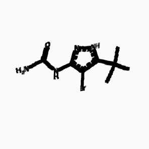 CC(C)(C)c1[nH]nc(NC(N)=O)c1Br